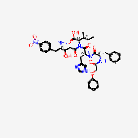 CC[C@H](C)[C@@H](C(=O)O)N(C(=O)CC(O)[C@@H](N)Cc1ccc([N+](=O)[O-])cc1)C(=O)[C@H](Cc1c[nH]cn1)NC(=O)[C@H](Cc1ccccc1)NC(=O)COc1ccccc1